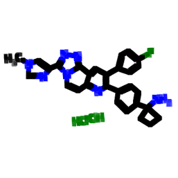 Cl.Cl.Cn1cnc(-c2nnc3c4cc(-c5ccc(F)cc5)c(-c5ccc(C6(N)CCC6)cc5)nc4ccn23)c1